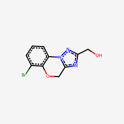 OCc1nc2n(n1)-c1cccc(Br)c1OC2